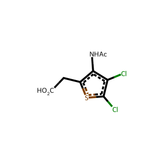 CC(=O)Nc1c(CC(=O)O)sc(Cl)c1Cl